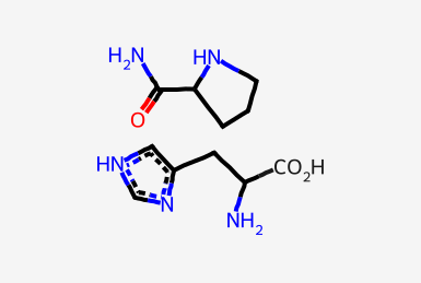 NC(=O)C1CCCN1.NC(Cc1c[nH]cn1)C(=O)O